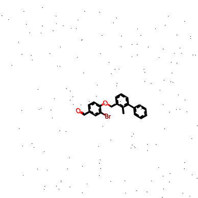 Cc1c(COc2ccc(C=O)cc2Br)cccc1-c1ccccc1